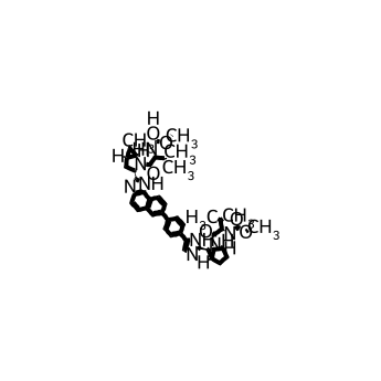 COC(=O)N[C@H](C(=O)N1[C@@H]2CC[C@@H](C2)[C@H]1c1ncc(-c2ccc(-c3ccc4c(ccc5nc([C@@H]6C[C@H]7[C@@H](C)[C@H]7N6C(=O)[C@@H](NC(O)OC)C(C)C)[nH]c54)c3)cc2)[nH]1)C(C)C